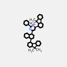 CC1(C)c2ccccc2-c2c(-c3ccc(-c4cc(-c5cccc6c5C(C)(C)c5ccccc5-6)nc(-c5ccccc5)n4)c4ccccc34)cccc21